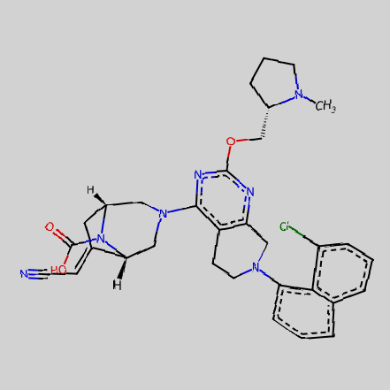 CN1CCC[C@H]1COc1nc2c(c(N3C[C@H]4CC(=CC#N)[C@@H](C3)N4C(=O)O)n1)CCN(c1cccc3cccc(Cl)c13)C2